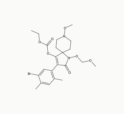 CCOC(=O)OC1=C(c2cc(Br)c(C)cc2C)C(=O)N(OCOC)C12CCN(OC)CC2